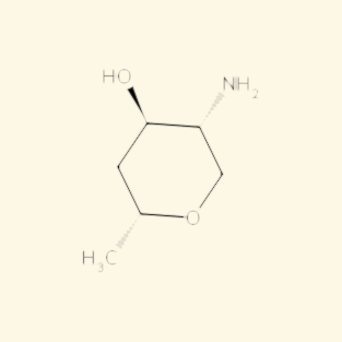 C[C@@H]1C[C@@H](O)[C@H](N)CO1